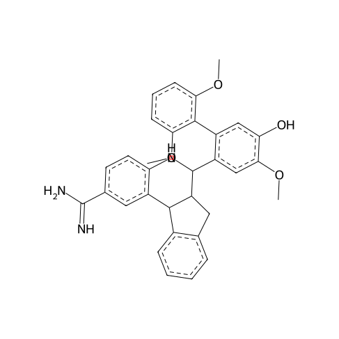 COc1cc(C2Nc3ccc(C(=N)N)cc3C3c4ccccc4CC23)c(-c2c(OC)cccc2OC)cc1O